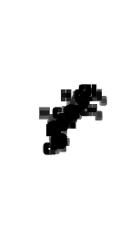 CCn1c(Cc2ccnn2-c2cccc(Cl)c2)nc2cc(C(C)=NOC(C)(C)C)ccc21